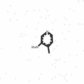 CNc1cnccc1C